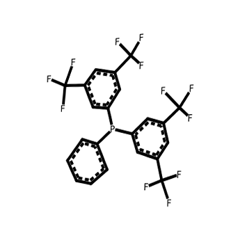 FC(F)(F)c1cc(P(c2ccccc2)c2cc(C(F)(F)F)cc(C(F)(F)F)c2)cc(C(F)(F)F)c1